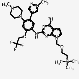 [2H]c1nc(Nc2cc(-c3cnn(C)c3)c(N3CCN(C)CC3)cc2OCC(F)(F)F)nc2c1ccn2COCC[Si](C)(C)C